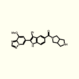 COc1cc(-c2[nH]c3ccc(C(=O)N4CC5CNCC5C4)cc3c2C(C)C)cn2ncnc12